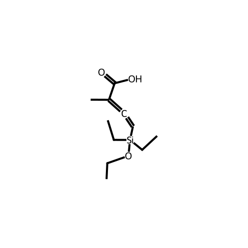 CCO[Si](C=C=C(C)C(=O)O)(CC)CC